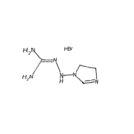 Br.NC(N)=NNN1C=NCC1